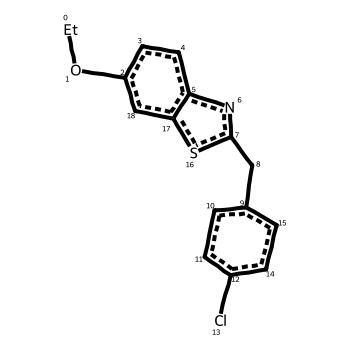 CCOc1ccc2nc(Cc3ccc(Cl)cc3)sc2c1